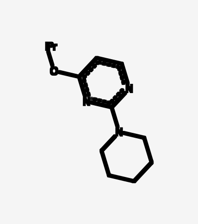 CC(C)Oc1ccnc(N2CCCCC2)n1